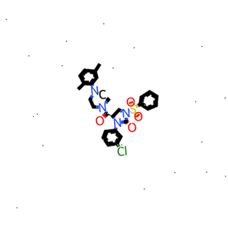 Cc1ccc(C)c(N2CCN(C(=O)[C@@H]3CN(S(=O)(=O)c4ccccc4)C(=O)N3c3cccc(Cl)c3)CC2)c1